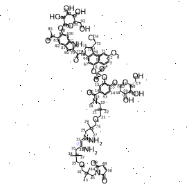 COc1ccc2c(OS(=O)(=O)Oc3cc(C(=O)N(C)CC(C)(C)COCC(C)(C)CN(N)/C=C(\N)CC(C)(C)COCC(C)(C)CN4C(=O)C=CC4=O)ccc3O[C@H]3C[C@@H](O)[C@@H](O)[C@@H](CO)O3)cc3c(c2c1)[C@H](CCl)CN3C(=O)c1cc2cc(C(C)=O)c(O[C@@H]3O[C@H](CO)[C@H](O)[C@H](O)[C@H]3O)cc2[nH]1